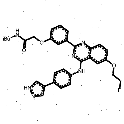 CC[C@H](C)NC(=O)COc1cccc(-c2nc(Nc3ccc(-c4cn[nH]c4)cc3)c3cc(OCCF)ccc3n2)c1